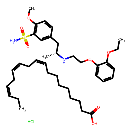 CC/C=C\C/C=C\C/C=C\CCCCCCCC(=O)O.CCOc1ccccc1OCCN[C@H](C)Cc1ccc(OC)c(S(N)(=O)=O)c1.Cl